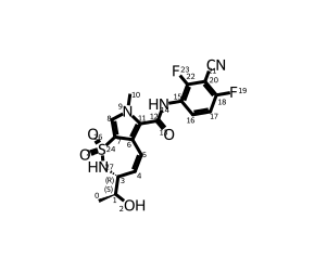 C[C@H](O)[C@H]1C=Cc2c(cn(C)c2C(=O)Nc2ccc(F)c(C#N)c2F)S(=O)(=O)N1